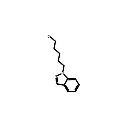 ClCCCCCn1nnc2ccccc21